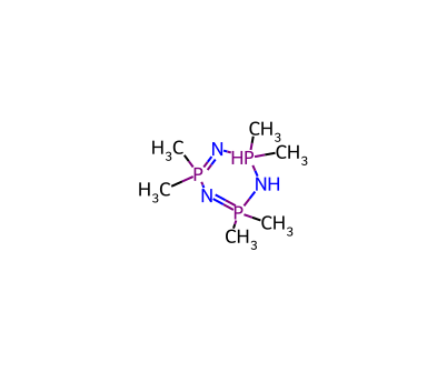 CP1(C)=N[PH](C)(C)NP(C)(C)=N1